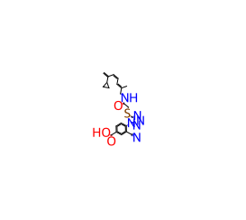 C=C(/C=C\C=C(/C)CNC(=O)CSc1nnnn1-c1ccc(C(=O)O)cc1C#N)C1CC1